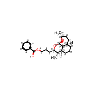 C[C@H]1[C@@H](CCCOC(=O)c2ccccc2)OC2O[C@]3(C)CC[C@H]4CCC[C@@H]1[C@@]24OO3